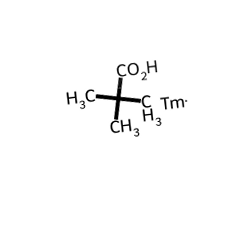 CC(C)(C)C(=O)O.[Tm]